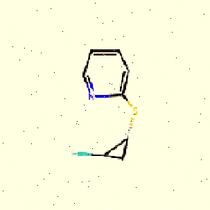 F[C@@H]1C[C@H]1Sc1ccccn1